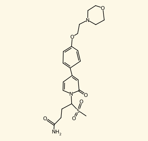 CS(=O)(=O)C(CCC(N)=O)n1ccc(-c2ccc(OCCN3CCOCC3)cc2)cc1=O